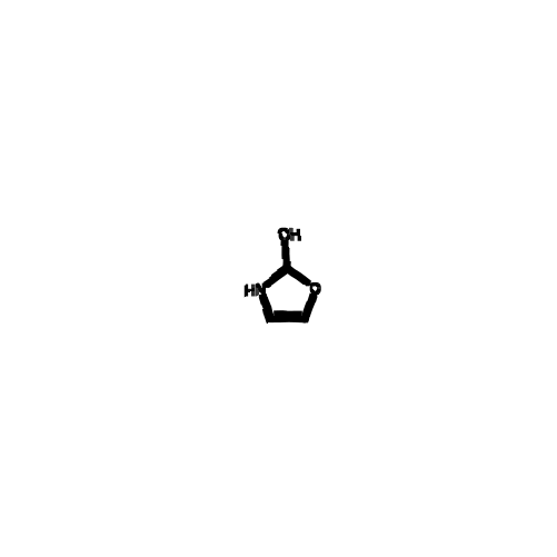 OC1NC=CO1